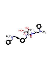 C[C@@H](O)[C@H]1[C@@H](CO)ON(Cc2cccc(C#CCN(C)Cc3ccccc3)c2)[C@H]1C(=O)NCCCN(C)c1ccccc1